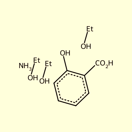 CCO.CCO.CCO.N.O=C(O)c1ccccc1O